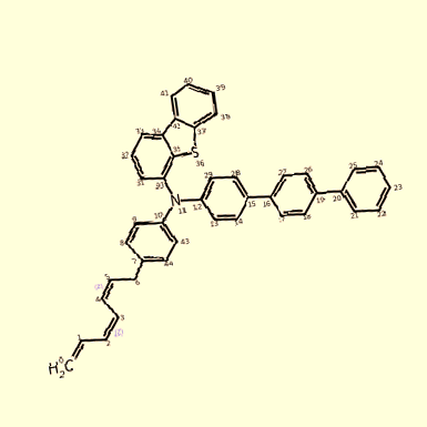 C=C/C=C\C=C/Cc1ccc(N(c2ccc(-c3ccc(-c4ccccc4)cc3)cc2)c2cccc3c2sc2ccccc23)cc1